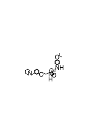 CC(C)Oc1ccc(NCCS(=O)(=O)NCCCOc2cccc(CN3CCCCC3)c2)cc1